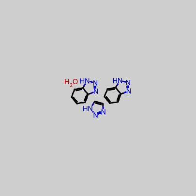 O.c1c[nH]nn1.c1ccc2[nH]nnc2c1.c1ccc2[nH]nnc2c1